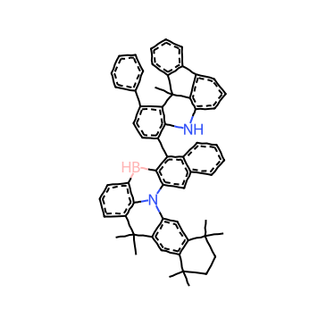 CC1(C)CCC(C)(C)c2cc3c(cc21)N1c2cc4ccccc4c(-c4ccc(-c5ccccc5)c5c4Nc4cccc6c4C5(C)c4ccccc4-6)c2Bc2cccc(c21)C3(C)C